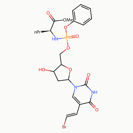 CCC[C@H](NP(=O)(OCC1OC(n2cc(/C=C/Br)c(=O)[nH]c2=O)CC1O)Oc1ccccc1)C(=O)OC